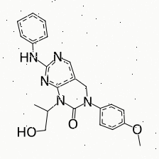 COc1ccc(N2Cc3cnc(Nc4ccccc4)nc3N(C(C)CO)C2=O)cc1